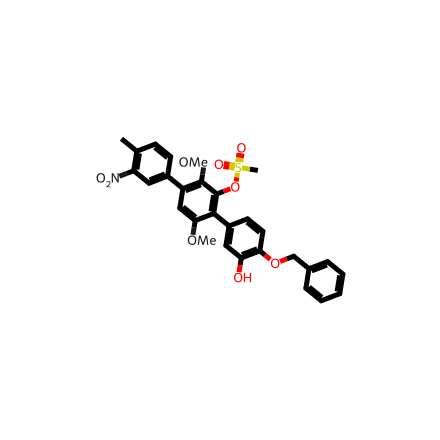 COc1cc(-c2ccc(C)c([N+](=O)[O-])c2)c(OC)c(OS(C)(=O)=O)c1-c1ccc(OCc2ccccc2)c(O)c1